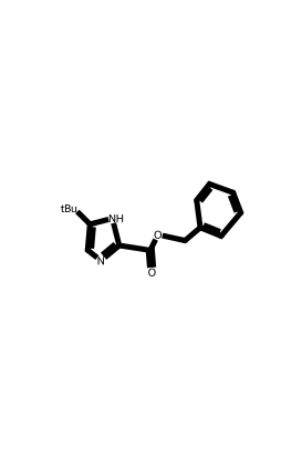 CC(C)(C)c1cnc(C(=O)OCc2ccccc2)[nH]1